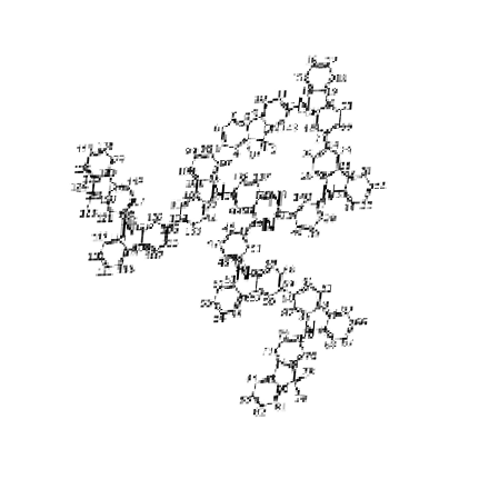 CC1(C)c2ccccc2-c2ccc(-n3c4ccccc4c4ccc(-c5ccc6c(c5)c5ccccc5n6-c5cccc(-c6nc(-c7cccc(-n8c9ccccc9c9cc(-c%10ccc%11c%12ccccc%12n(-c%12ccc%13c(c%12)C(C)(C)c%12ccccc%12-%13)c%11c%10)ccc98)c7)c7cc(-n8c9ccccc9c9cc(-c%10ccc%11c%12ccccc%12n(-c%12ccc%13c(c%12)C(C)(C)c%12ccccc%12-%13)c%11c%10)ccc98)ccc7n6)c5)cc43)cc21